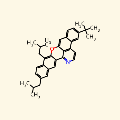 CC(C)Cc1ccc2c(CC(C)C)c3c(cc2c1)-c1nccc2c1c(cc1ccc(C(C)(C)C)cc12)O3